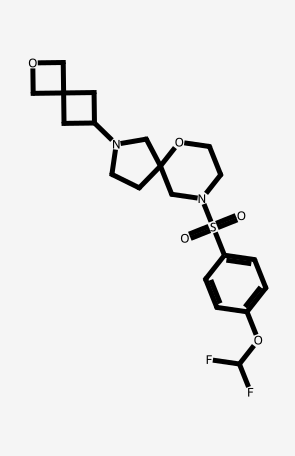 O=S(=O)(c1ccc(OC(F)F)cc1)N1CCOC2(CCN(C3CC4(COC4)C3)C2)C1